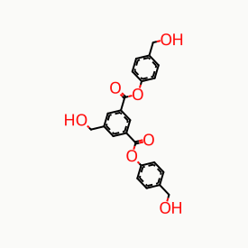 O=C(Oc1ccc(CO)cc1)c1cc(CO)cc(C(=O)Oc2ccc(CO)cc2)c1